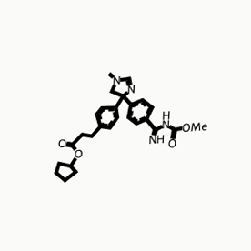 COC(=O)NC(=N)c1ccc(C2(c3ccc(CCC(=O)OC4CCCC4)cc3)CN(C)C=N2)cc1